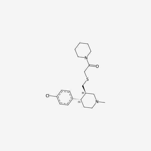 CN1CC[C@H](c2ccc(Cl)cc2)[C@@H](CSCC(=O)N2CCCCC2)C1